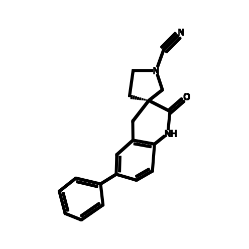 N#CN1CC[C@]2(Cc3cc(-c4ccccc4)ccc3NC2=O)C1